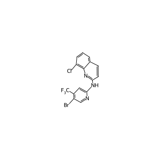 FC(F)(F)c1cc(Nc2ccc3cccc(Cl)c3n2)ncc1Br